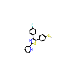 CSc1ccc(-c2sc(-c3ccccn3)nc2-c2ccc(F)cc2)cc1